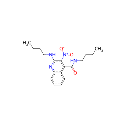 CCCCNC(=O)c1c([N+](=O)[O-])c(NCCCC)nc2ccccc12